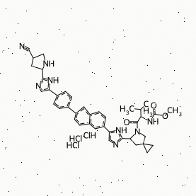 COC(=O)NC(C(=O)N1CC2(CC2)CC1c1ncc(-c2ccc3cc(-c4ccc(-c5cnc(C6CC(C#N)CN6)[nH]5)cc4)ccc3c2)[nH]1)C(C)C.Cl.Cl.Cl